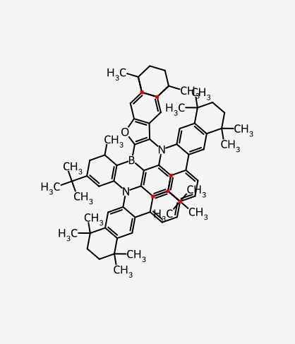 CC1CC(C(C)(C)C)=CC2=C1B1c3oc4cc5c(cc4c3N(c3cc4c(cc3-c3ccccc3)C(C)(C)CCC4(C)C)c3cc(C(C)(C)C)cc(c31)N2c1cc2c(cc1-c1ccccc1)C(C)(C)CCC2(C)C)C1(C)CCC5(C)CC1